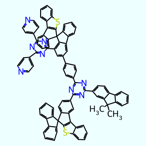 CC1(C)c2ccccc2-c2ccc(-c3nc(-c4ccc(-c5cc(-c6nc(-c7ccncc7)nc(-c7ccncc7)n6)c6c(c5)-c5ccccc5C65c6ccccc6-c6c5sc5ccccc65)cc4)nc(-c4ccc5c(c4)-c4c(sc6ccccc46)C54c5ccccc5-c5ccccc54)n3)cc21